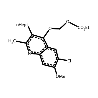 CCCCCCCc1c(C)nc2cc(OC)c(Cl)cc2c1OCOC(=O)OCC